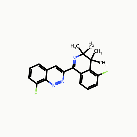 CC1(C)N=C(c2cc3cccc(F)c3nn2)c2cccc(F)c2C1(C)C